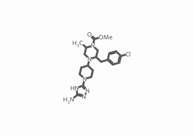 COC(=O)N1CC(Cc2ccc(Cl)cc2)N(C2CCN(c3nnc(N)[nH]3)CC2)CC1C